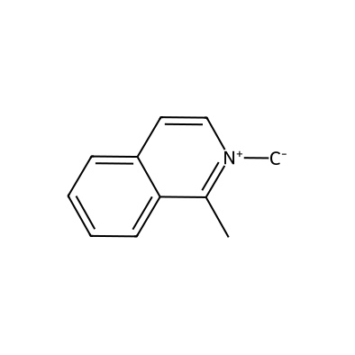 [CH2-][n+]1ccc2ccccc2c1C